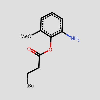 COc1cccc(N)c1OC(=O)CCC(C)(C)C